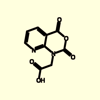 O=C(O)Cn1c(=O)oc(=O)c2cccnc21